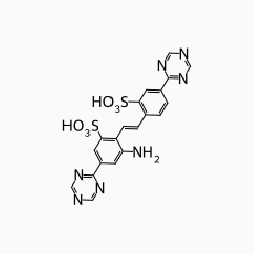 Nc1cc(-c2ncncn2)cc(S(=O)(=O)O)c1C=Cc1ccc(-c2ncncn2)cc1S(=O)(=O)O